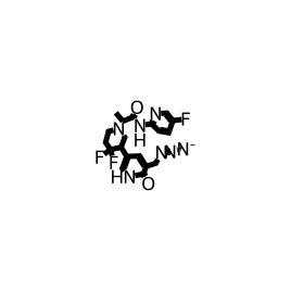 CC(C(=O)Nc1ccc(F)cn1)N1CCC(F)(F)C(c2c[nH]c(=O)c(CN=[N+]=[N-])c2)C1